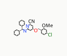 COc1cc(Cl)ccc1COc1cc(C#N)nc(N=C(c2ccccc2)c2ccccc2)c1